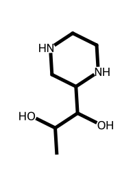 CC(O)C(O)C1CNCCN1